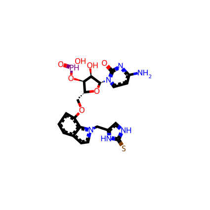 Nc1ccn([C@@H]2O[C@H](COc3cccc4ccn(Cc5c[nH]c(=S)[nH]5)c34)[C@@H](O[PH](=O)O)[C@H]2O)c(=O)n1